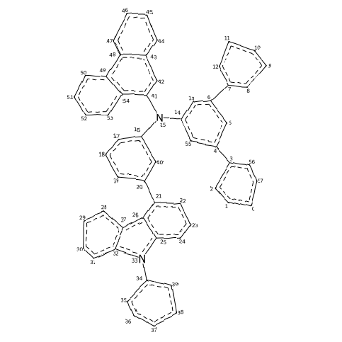 c1ccc(-c2cc(-c3ccccc3)cc(N(c3cccc(-c4cccc5c4c4ccccc4n5-c4ccccc4)c3)c3cc4ccccc4c4ccccc34)c2)cc1